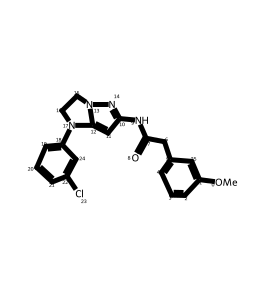 COc1cccc(CC(=O)Nc2cc3n(n2)CCN3c2cccc(Cl)c2)c1